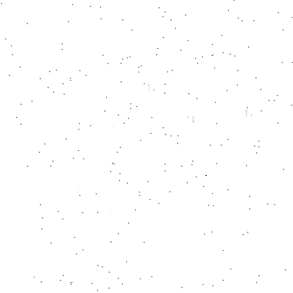 FC1(F)CCC(c2ncc3n2CCNC3)CC1